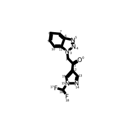 O=C(Cn1nnc2ccccc21)c1cnn(C(F)F)c1